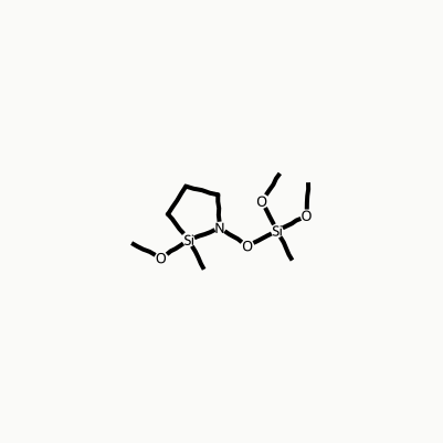 CO[Si](C)(OC)ON1CCC[Si]1(C)OC